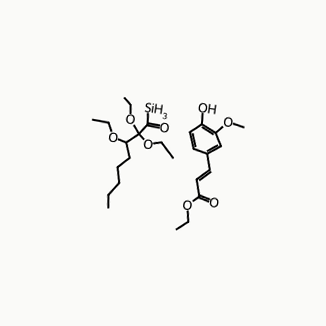 CCCCCC(OCC)C(OCC)(OCC)C(=O)[SiH3].CCOC(=O)C=Cc1ccc(O)c(OC)c1